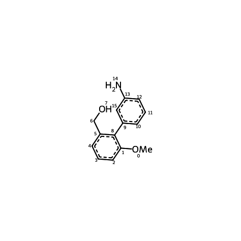 COc1cccc(CO)c1-c1cccc(N)c1